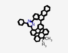 CC1(C)C2=C(C=CCC2)C2(c3ccc(-c4ccc5cc6ccccc6cc5c4)cc3-c3c(-c4cc(C5=CC=CCC5)nc(-c5ccccc5)n4)cccc32)c2ccccc21